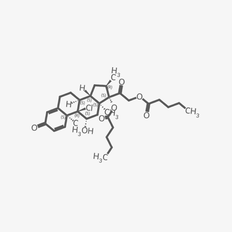 CCCCC(=O)OCC(=O)[C@]1(OC(=O)CCCC)[C@H](C)C[C@H]2[C@@H]3CCC4=CC(=O)C=C[C@]4(C)[C@@]3(Cl)[C@@H](O)C[C@@]21C